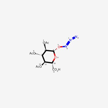 CC(=O)O[C@@H]1[C@@H](OC(C)=O)[C@H](ON=[N+]=[N-])O[C@H](C(=O)O)[C@H]1OC(C)=O